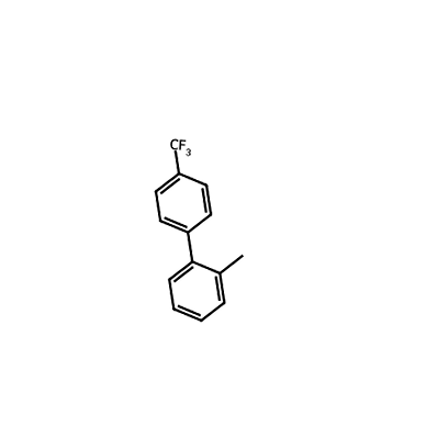 Cc1ccccc1-c1ccc(C(F)(F)F)cc1